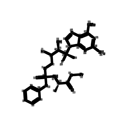 CCC(COP(=O)(N[C@@H](C)C(=O)OC(C)C)Oc1ccccc1)[C@@H](O)[C@@](C)(F)n1cnc2c(OC)nc(N)nc21